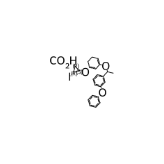 CC(OC1=CCCC(O[C@@H]2[C@H](I)[C@H]2C(=O)O)=C1)c1cccc(Oc2ccccc2)c1